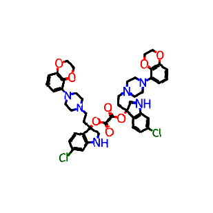 O=C(OC1(CCN2CCN(c3cccc4c3OCCO4)CC2)CNc2cc(Cl)ccc21)C(=O)OC1(CCN2CCN(c3cccc4c3OCCO4)CC2)CNc2cc(Cl)ccc21